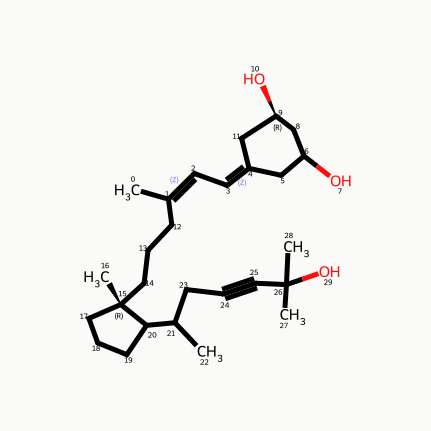 C/C(=C/C=C1/CC(O)C[C@H](O)C1)CCC[C@@]1(C)CCCC1C(C)CC#CC(C)(C)O